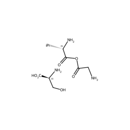 CC(C)[C@H](N)C(=O)OC(=O)CN.N[C@@H](CO)C(=O)O